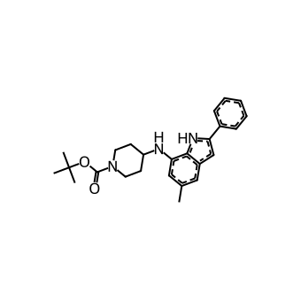 Cc1cc(NC2CCN(C(=O)OC(C)(C)C)CC2)c2[nH]c(-c3ccccc3)cc2c1